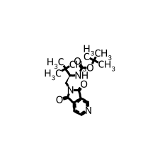 CC(C)(C)OC(=O)N[C@@H](CN1C(=O)c2ccncc2C1=O)C(C)(C)C